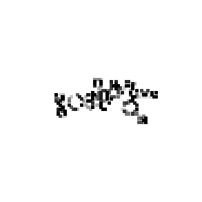 CCn1nc(C(=O)NC[C@]2(O)CC[C@@H](S(C)(=O)=O)CC2)c(Cl)c1-c1ccc(Br)cc1OC